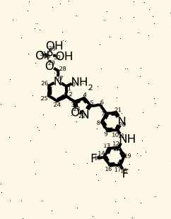 NC1C(c2cc(Cc3ccc(Nc4cc(F)cc(F)c4)nc3)no2)=CC=CN1COP(=O)(O)O